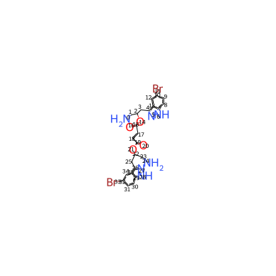 NCC(Cc1n[nH]c2ccc(Br)cc12)OC(=O)/C=C/C(=O)OC(CN)Cc1n[nH]c2ccc(Br)cc12